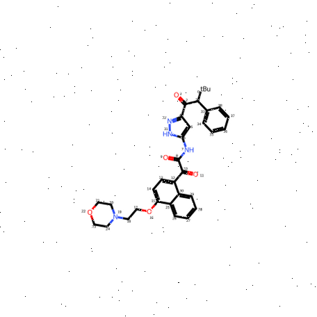 CC(C)(C)C(C(=O)c1cc(NC(=O)C(=O)c2ccc(OCCN3CCOCC3)c3ccccc23)[nH]n1)c1ccccc1